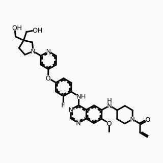 C=CC(=O)N1CCC(Nc2cc3c(Nc4ccc(Oc5ccnc(N6CCC(CO)(CO)C6)c5)cc4F)ncnc3cc2OC)CC1